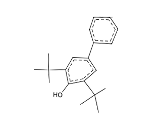 CC(C)(C)c1cc(-c2cc[c]cc2)cc(C(C)(C)C)c1O